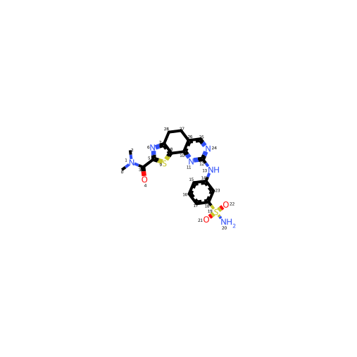 CN(C)C(=O)c1nc2c(s1)-c1nc(Nc3cccc(S(N)(=O)=O)c3)ncc1CC2